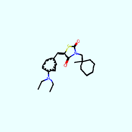 CCN(CC)c1ccc(C=C2SC(=O)N(CC3(C)CCCCC3)C2=O)cc1